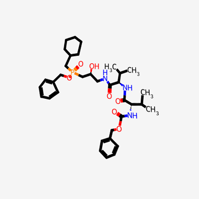 CC(C)[C@H](NC(=O)OCc1ccccc1)C(=O)N[C@@H](C(=O)NC[C@H](O)CP(=O)(CC1CCCCC1)OCc1ccccc1)C(C)C